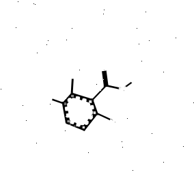 CNC(=O)c1c(N)ccc(F)c1F